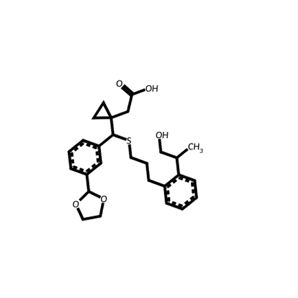 CC(CO)c1ccccc1CCCSC(c1cccc(C2OCCO2)c1)C1(CC(=O)O)CC1